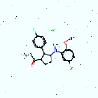 COC(=O)C1CCC(N(C)c2cc(Br)ccc2OC(C)C)C1c1ccc(F)cc1.Cl